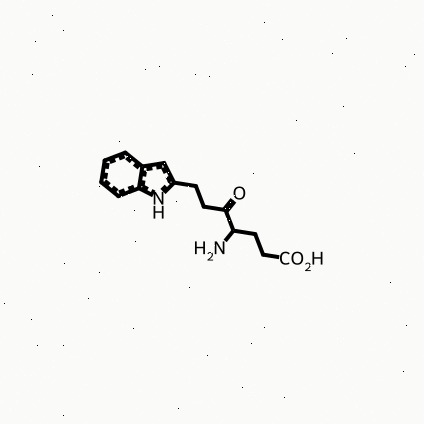 NC(CCC(=O)O)C(=O)CCc1cc2ccccc2[nH]1